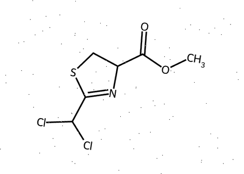 COC(=O)C1CSC(C(Cl)Cl)=N1